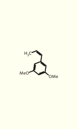 C/C=C\c1cc(OC)cc(OC)c1